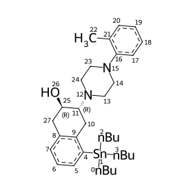 CCC[CH2][Sn]([CH2]CCC)([CH2]CCC)[c]1cccc2c1C[C@@H](N1CCN(c3ccccc3C)CC1)[C@H](O)C2